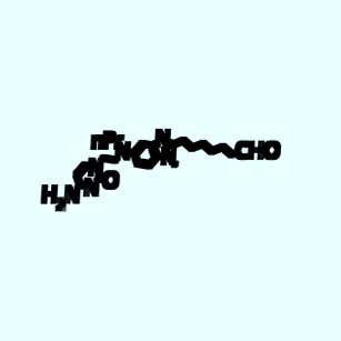 CCCN(CCn1ccc(N)nc1=O)c1ccc2c(c1)nc(CCCCCCC=O)n2C